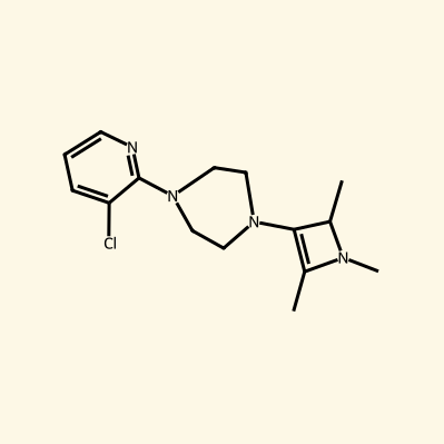 CC1=C(N2CCN(c3ncccc3Cl)CC2)C(C)N1C